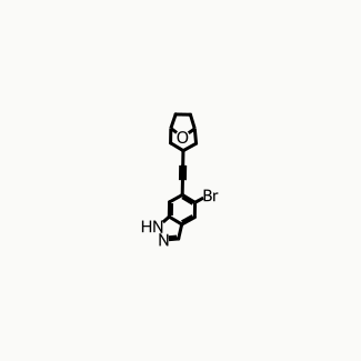 Brc1cc2cn[nH]c2cc1C#CC1CC2CCC(C1)O2